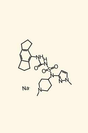 CN1CCC(N(c2ccn(C)n2)S(=O)(=O)NC(=O)Nc2c3c(cc4c2CCC4)CCC3)CC1.[Na]